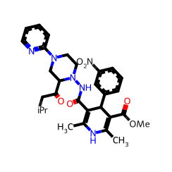 COC(=O)C1=C(C)NC(C)=C(C(=O)NN2CCN(c3ccccn3)CC2C(=O)CC(C)C)C1c1cccc([N+](=O)[O-])c1